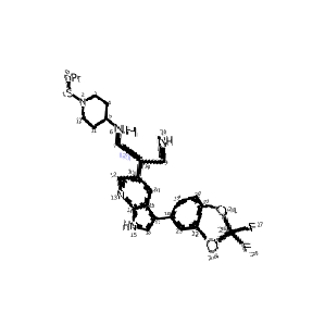 CCCSN1CCC(N/C=C(\C=N)c2cnc3[nH]cc(-c4ccc5c(c4)OC(F)(F)O5)c3c2)CC1